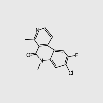 Cc1nccc2c1c(=O)n(C)c1cc(Cl)c(F)cc21